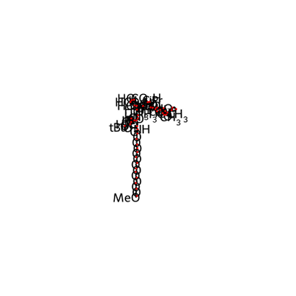 CC[C@H](C)[C@@H](C(CC(=O)N1CCC[C@H]1[C@H](C)[C@@H](C)C(=O)N[C@H](C)[C@@H](O)c1ccccc1)OC)N(C)C(=O)[C@@H](NC(=O)[C@H](C(C)C)N(C)C(=O)OCc1ccc(O[C@@H]2O[C@H](C(=O)O)[C@@H](O)[C@H](O)[C@H]2O)c(NC(=O)CCNC(=O)[C@H](CCCCNC(=O)CCOCCOCCOCCOCCOCCOCCOCCOCCOCCOCCOCCOC)NC(=O)[C@H](CNC(=O)OC(C)(C)C)N2C(=O)C=CC2=O)c1)C(C)C